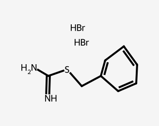 Br.Br.N=C(N)SCc1ccccc1